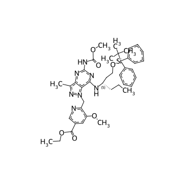 CCC[C@@H](CCO[Si](c1ccccc1)(c1ccccc1)C(C)(C)C)Nc1nc(NC(=O)OC)nc2c(C)nn(Cc3ncc(C(=O)OCC)cc3OC)c12